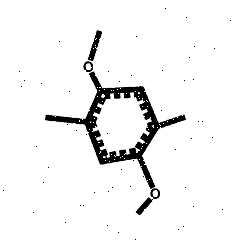 COc1cc(C)c(OC)cc1C